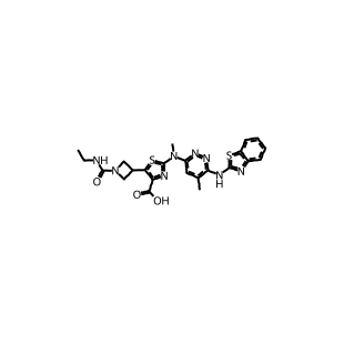 CCNC(=O)N1CC(c2sc(N(C)c3cc(C)c(Nc4nc5ccccc5s4)nn3)nc2C(=O)O)C1